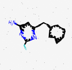 Nc1cc(Cc2ccccc2)nc(F)n1